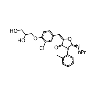 CCC/N=C1/OC(=Cc2ccc(OCC(O)CO)c(Cl)c2)C(=O)N1c1ccccc1C